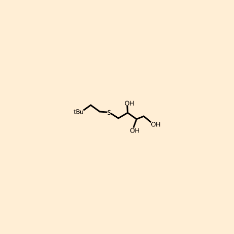 CC(C)(C)CCSCC(O)C(O)CO